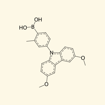 COc1ccc2c(c1)c1cc(OC)ccc1n2-c1ccc(B(O)O)c(C)c1